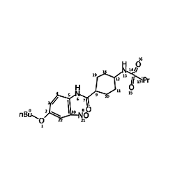 CCCCOc1ccc(NC(=O)C2CCC(NS(=O)(=O)C(C)C)CC2)c(N=O)c1